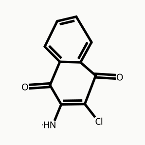 [NH]C1=C(Cl)C(=O)c2ccccc2C1=O